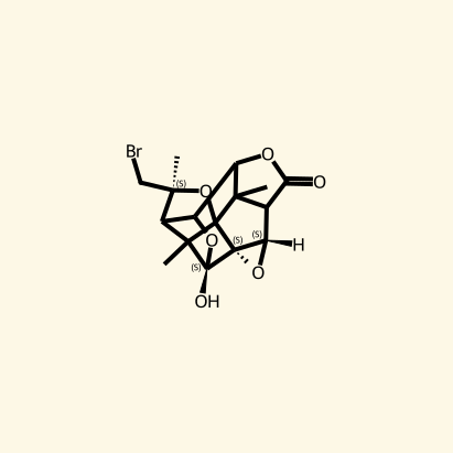 CC12C3OC(=O)C1[C@@H]1O[C@]14C21O[C@](C)(CBr)C2C3O[C@@]4(O)C21C